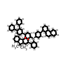 CC1(C)c2ccccc2-c2ccc(-c3ccccc3N(c3ccc(-c4ccc(-c5ccccc5)c(-c5ccccc5)c4)cc3)c3ccc(-c4cccc5c4ccc4ccccc45)cc3)cc21